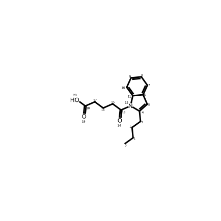 CCCCc1cc2ccccc2n1C(=O)CCCC(=O)O